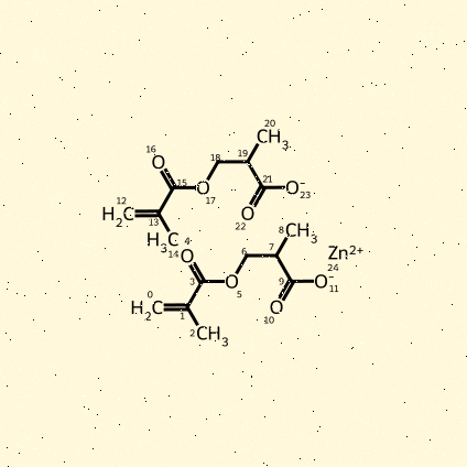 C=C(C)C(=O)OCC(C)C(=O)[O-].C=C(C)C(=O)OCC(C)C(=O)[O-].[Zn+2]